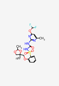 CCCC1(COc2ccccc2S(=O)(=O)NC(=O)Nc2nc(C)cc(OC(F)F)n2)COC(C)O1